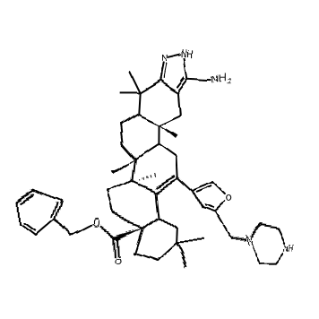 CC1(C)CC[C@]2(C(=O)OCc3ccccc3)CC[C@]3(C)C(=C(c4coc(CN5CCNCC5)c4)CC4[C@@]5(C)Cc6c(n[nH]c6N)C(C)(C)C5CC[C@]43C)C2C1